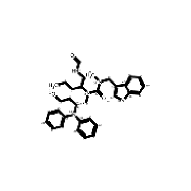 CCCC(CNC=O)N(C[C@@H](CCO)N(c1ccccc1)c1ccccc1)C(=O)N(C)Cc1csc2ccccc12